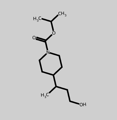 CC(C)OC(=O)N1CCC(C(C)CCO)CC1